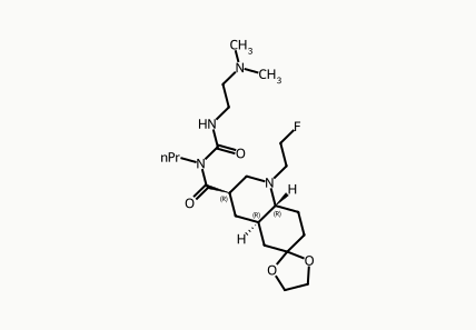 CCCN(C(=O)NCCN(C)C)C(=O)[C@@H]1C[C@@H]2CC3(CC[C@H]2N(CCF)C1)OCCO3